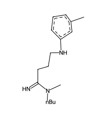 CCCCN(C)C(=N)CCCNc1cccc(C)c1